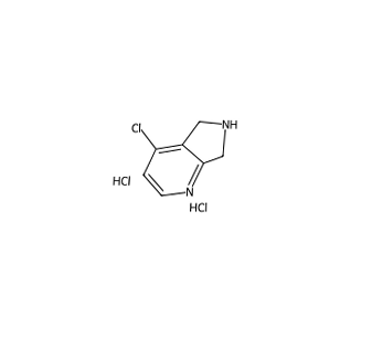 Cl.Cl.Clc1ccnc2c1CNC2